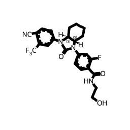 N#Cc1ccc(N2C(=O)N(c3ccc(C(=O)NCCO)c(F)c3)[C@H]3CCCC[C@@H]32)cc1C(F)(F)F